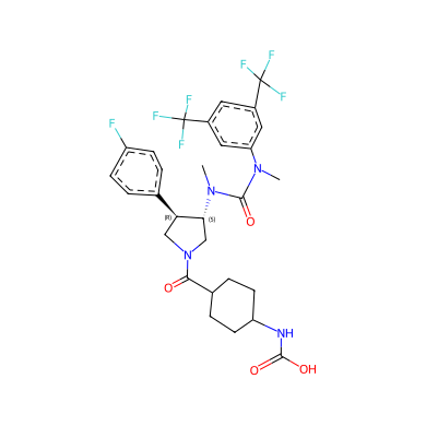 CN(C(=O)N(C)[C@@H]1CN(C(=O)C2CCC(NC(=O)O)CC2)C[C@H]1c1ccc(F)cc1)c1cc(C(F)(F)F)cc(C(F)(F)F)c1